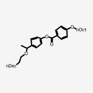 CCCCCCCCCCCCOC(C)c1ccc(OC(=O)c2ccc(OCCCCCCCC)cc2)cc1